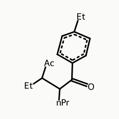 CCCC(C(=O)c1ccc(CC)cc1)C(CC)C(C)=O